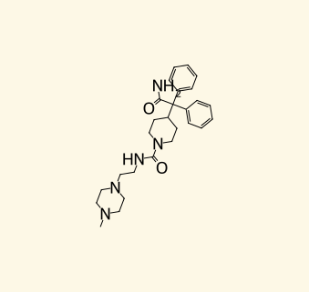 CN1CCN(CCNC(=O)N2CCC(C(C(N)=O)(c3ccccc3)c3ccccc3)CC2)CC1